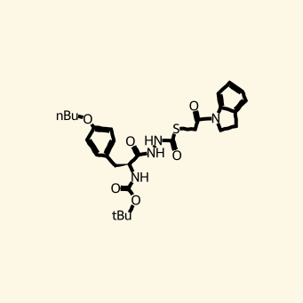 CCCCOc1ccc(C[C@H](NC(=O)OC(C)(C)C)C(=O)NNC(=O)SCC(=O)N2CCc3ccccc32)cc1